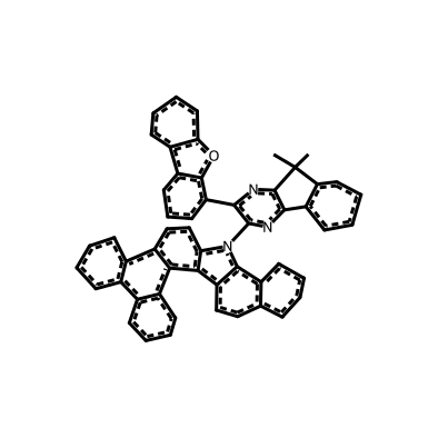 CC1(C)c2ccccc2-c2nc(-n3c4ccc5c6ccccc6c6ccccc6c5c4c4ccc5ccccc5c43)c(-c3cccc4c3oc3ccccc34)nc21